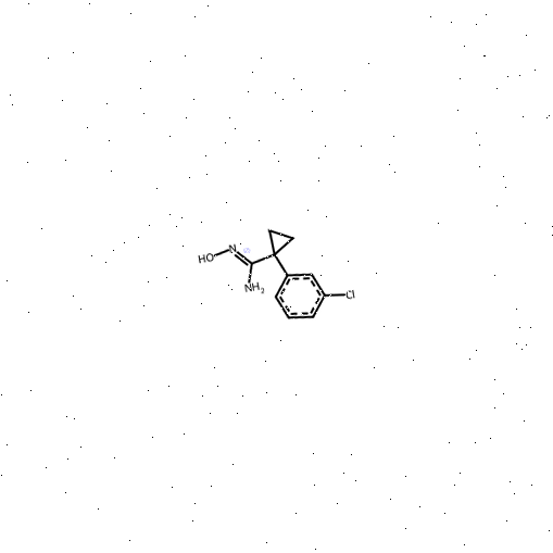 N/C(=N\O)C1(c2cccc(Cl)c2)CC1